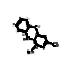 Clc1cc(Br)c2c(c1)Oc1ccccc1O2